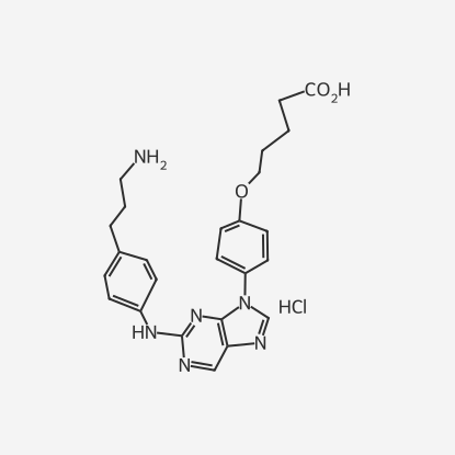 Cl.NCCCc1ccc(Nc2ncc3ncn(-c4ccc(OCCCCC(=O)O)cc4)c3n2)cc1